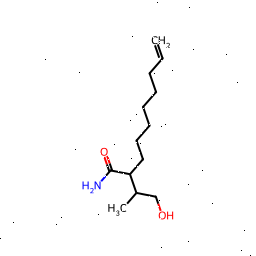 C=CCCCCCCC(C(N)=O)C(C)CO